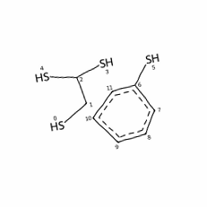 SCC(S)S.Sc1ccccc1